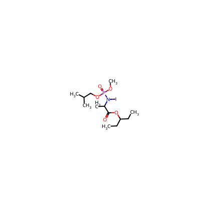 CCC(CC)OC(=O)C(C)N(I)P(=O)(OC)OCC(C)C